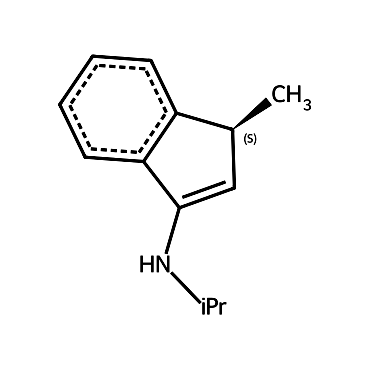 CC(C)NC1=C[C@H](C)c2ccccc21